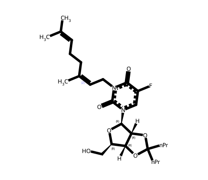 CCCC1(CCC)O[C@@H]2[C@H](O1)[C@@H](CO)O[C@H]2n1cc(F)c(=O)n(C/C=C(/C)CCC=C(C)C)c1=O